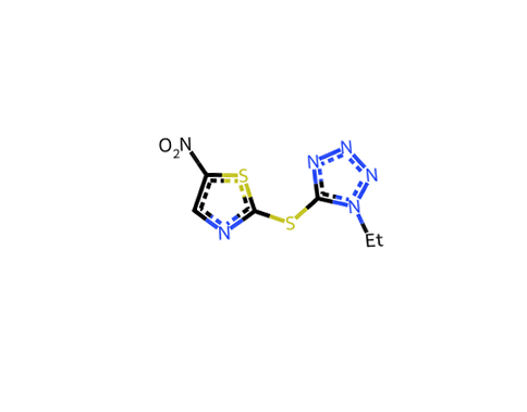 CCn1nnnc1Sc1ncc([N+](=O)[O-])s1